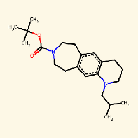 CC(C)CN1CCCc2cc3c(cc21)CCN(C(=O)OC(C)(C)C)CC3